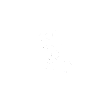 C#Cc1c(F)ccc2cc(N)cc(-c3ncc4c(N5CCOC[C@H]6[C@H](F)[C@H]65)nc(OC[C@@]56CCCN5C/C(=C\F)C6)nc4c3C)c12